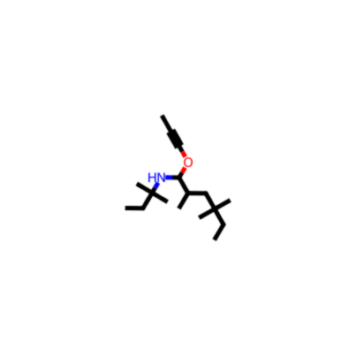 CC#COC(NC(C)(C)CC)C(C)CC(C)(C)CC